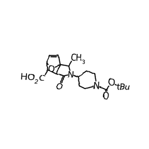 CC1N(C2CCN(C(=O)OC(C)(C)C)CC2)C(=O)C2C(C(=O)O)C3C=CC21O3